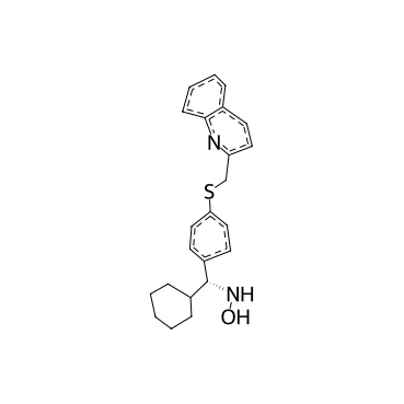 ON[C@@H](c1ccc(SCc2ccc3ccccc3n2)cc1)C1CCCCC1